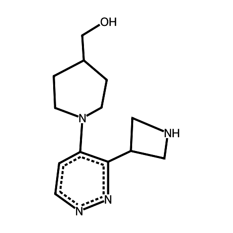 OCC1CCN(c2ccnnc2C2CNC2)CC1